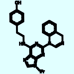 CC(C)n1cnc2c(NCCc3ccc(O)cc3)nc(N3C=NCc4ccccc43)nc21